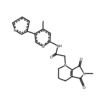 Cc1cc(NC(=O)CN2CCCC3=C2C(=O)N(C)C3=O)ncc1-c1cccnc1